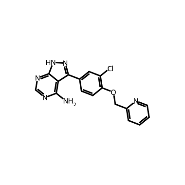 Nc1ncnc2[nH]nc(-c3ccc(OCc4ccccn4)c(Cl)c3)c12